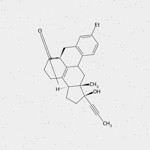 CC#C[C@]1(O)CC[C@H]2C3=C4C(C[C@@]21C)c1ccc(CC)cc1C[C@@]41CCC(=O)C=C1CC3